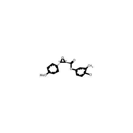 COc1ccc([C@@H]2O[C@H]2C(=O)Oc2ccc(Cl)c(C)c2)cc1